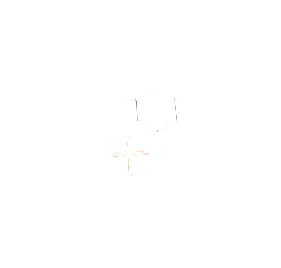 O=S(=O)(O)O.OC1CCCCC1